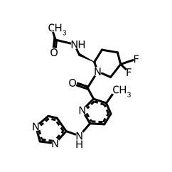 CC(=O)NC[C@H]1CCC(F)(F)CN1C(=O)c1nc(Nc2ccncn2)ccc1C